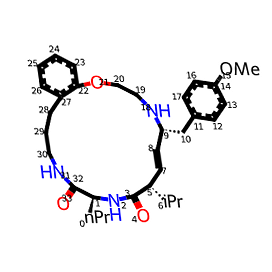 CCC[C@@H]1NC(=O)[C@@H](C(C)C)/C=C/[C@@H](Cc2ccc(OC)cc2)NCCOc2ccccc2CCCNC1=O